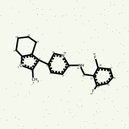 Cc1oc2c(c1-c1ccc(NCc3c(F)cccc3F)nc1)CCCC2